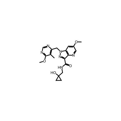 COc1cnc2c(C(=O)NCC3(O)CC3)nn(Cc3ncnc(OC)c3C)c2c1